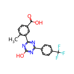 Cc1ccc(C(=O)O)cc1-c1nc(O)nc(-c2ccc(C(F)(F)F)cc2)n1